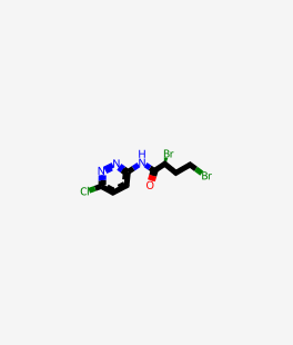 O=C(Nc1ccc(Cl)nn1)[C@@H](Br)CCBr